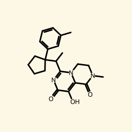 Cc1cccc(C2(C(C)c3nc(=O)c(O)c4n3CCN(C)C4=O)CCCC2)c1